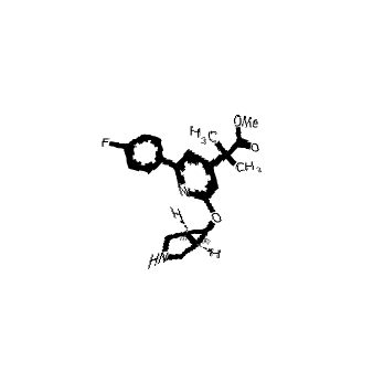 COC(=O)C(C)(C)c1cc(OC2[C@H]3CNC[C@@H]23)nc(-c2ccc(F)cc2)c1